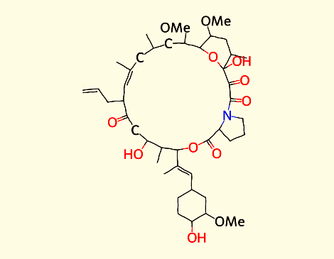 C=CCC1/C=C(/C)CC(C)CC(OC)C2OC(O)(C(=O)C(=O)N3CCCC3C(=O)OC(/C(C)=C/C3CCC(O)C(OC)C3)C(C)C(O)CC1=O)C(C)CC2OC